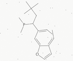 C/C=c1/cco/c1=C/C(=C\C)C(CC(C)(C)C)P(C)C